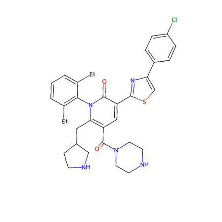 CCc1cccc(CC)c1-n1c(CC2CCNC2)c(C(=O)N2CCNCC2)cc(-c2nc(-c3ccc(Cl)cc3)cs2)c1=O